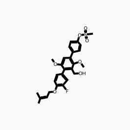 COc1cc(-c2ccc(OS(C)(=O)=O)cc2)c(OC)c(CO)c1-c1ccc(OCC=C(C)C)c(F)c1